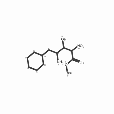 CC(C)(C)OC(=O)C(C(O)C(N)CC1CCCCC1)[N+](=O)[O-]